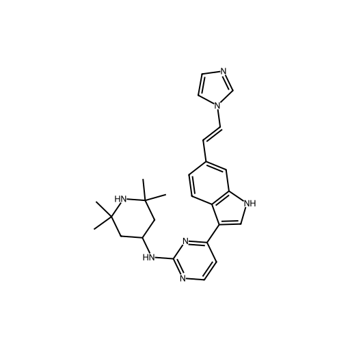 CC1(C)CC(Nc2nccc(-c3c[nH]c4cc(C=Cn5ccnc5)ccc34)n2)CC(C)(C)N1